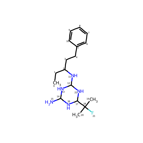 CCC(CCc1ccccc1)NC1NC(N)NC(C(C)(C)F)N1